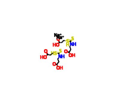 O=C(O)CCNC(=S)[SH-]CCC(=O)O.O=C(O)CCNC(=S)[SH-]CCC(=O)O.[Na+].[Na+]